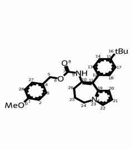 COc1ccc(COC(=O)NC2=C(c3ccc(C(C)(C)C)cc3)c3cccn3CCC2)cc1